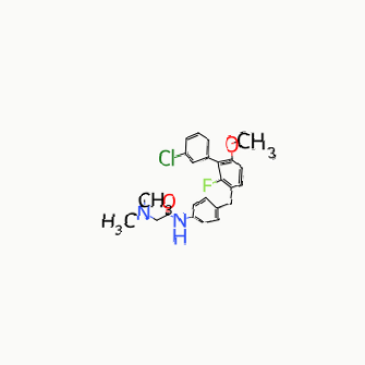 COc1ccc(Cc2ccc(NC(=O)CN(C)C)cc2)c(F)c1-c1cccc(Cl)c1